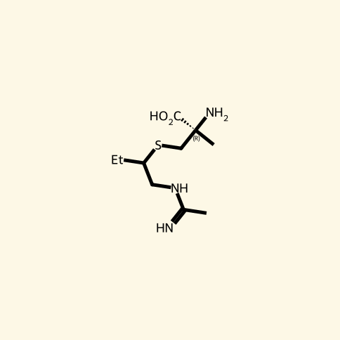 CCC(CNC(C)=N)SC[C@](C)(N)C(=O)O